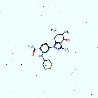 CC1C(=O)c2c(C(F)(F)F)nn(-c3ccc(C(N)=O)c(NC4CCSCC4)c3)c2C[C@@H]1C